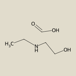 CCNCCO.O=CO